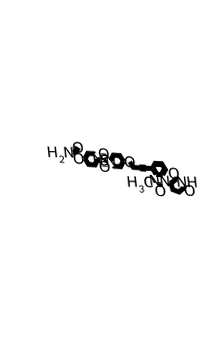 Cn1c(=O)n(C2CCC(=O)NC2=O)c2cccc(C#CCOC3CCN(S(=O)(=O)N4CCC(OC(N)=O)CC4)CC3)c21